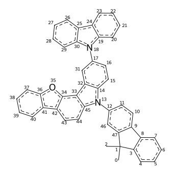 CC1(C)c2ccccc2-c2ccc(-n3c4ccc(-n5c6ccccc6c6ccccc65)cc4c4c5oc6ccccc6c5ccc43)cc21